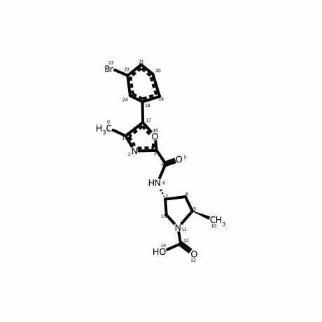 Cc1nc(C(=O)N[C@@H]2C[C@@H](C)N(C(=O)O)C2)oc1-c1cccc(Br)c1